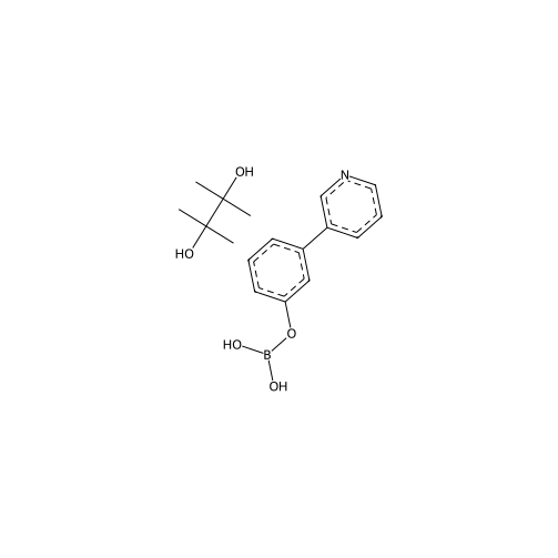 CC(C)(O)C(C)(C)O.OB(O)Oc1cccc(-c2cccnc2)c1